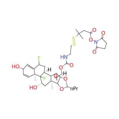 CCCC1O[C@@H]2CC3[C@@H]4C[C@H](F)C5=CC(O)C=C[C@]5(C)[C@@]4(F)[C@@H](O)C[C@]3(C)[C@]2(C(=O)COC(=O)NCCSSC(C)(C)CC(=O)ON2C(=O)CCC2=O)O1